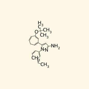 C\C=C/C=C(\C=C/C)n1nc(N)cc1C1=CCC=CC(OC(C)(C)C)=C1